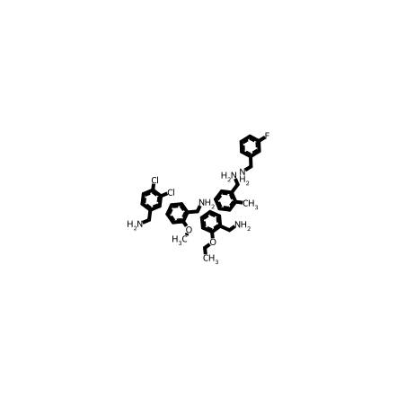 CCOc1ccccc1CN.COc1ccccc1CN.Cc1ccccc1CN.NCc1ccc(Cl)c(Cl)c1.NCc1cccc(F)c1